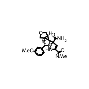 CNC(=O)C1=CC(C(N)=O)(C2[C@H]3COC[C@@H]23)N([C@@H](C)c2cccc(OC)c2)N1